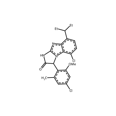 CCC(CC)c1ccc(Cl)c2c1nc1n2C(c2c(C)cc(Cl)cc2OC)C(=O)N1